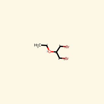 CCOC(CBr)CBr